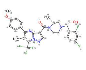 COc1ccc(-c2nc3c(C(=O)N4CCN([C@H](CO)c5ccc(F)cc5F)C[C@H]4C)cnn3c(C(F)(F)F)c2C)cc1